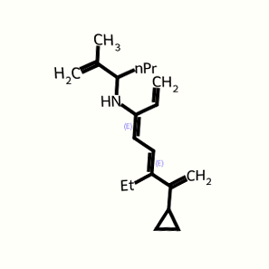 C=C/C(=C\C=C(/CC)C(=C)C1CC1)NC(CCC)C(=C)C